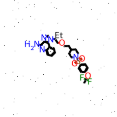 CCC(COCCC1CCN(S(=O)(=O)c2ccc(OC(C)(F)F)cc2)CC1)n1cnc2c(N)nc3ccccc3c21